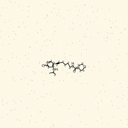 CC(C)Nc1cc(Cl)ncc1C#CCCCCNC(=O)N1CCOCC1